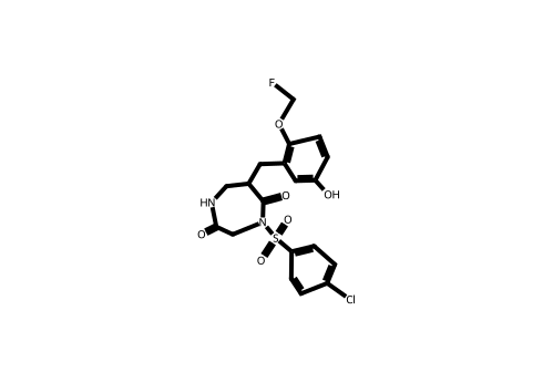 O=C1CN(S(=O)(=O)c2ccc(Cl)cc2)C(=O)C(Cc2cc(O)ccc2OCF)CN1